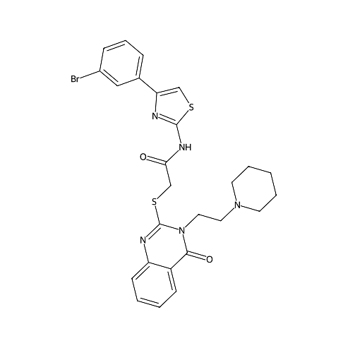 O=C(CSc1nc2ccccc2c(=O)n1CCN1CCCCC1)Nc1nc(-c2cccc(Br)c2)cs1